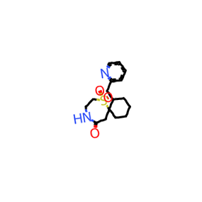 O=C1CC2(CCCCC2Cc2ccccn2)S(=O)(=O)CCN1